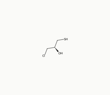 O[C@H](CS)CCl